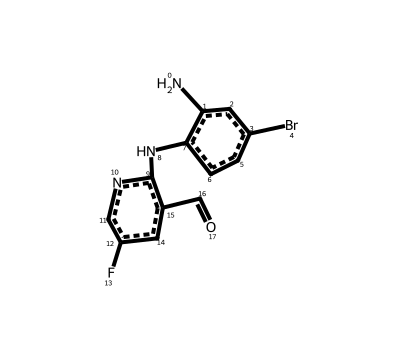 Nc1cc(Br)ccc1Nc1ncc(F)cc1C=O